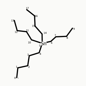 [CH2]CCC[CH2][Sn]([CH2]CCC)([CH2]CCC)[CH2]CCC